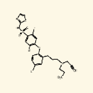 C#CCN(CCCc1cc(Cl)ccc1Oc1cc(F)c(S(=O)(=O)Nc2nccs2)cc1Cl)CCC(=O)O